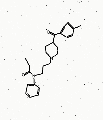 CCC(=O)N(CCCN1CCC(C(=O)c2ccc(C)cc2)CC1)c1ccccc1